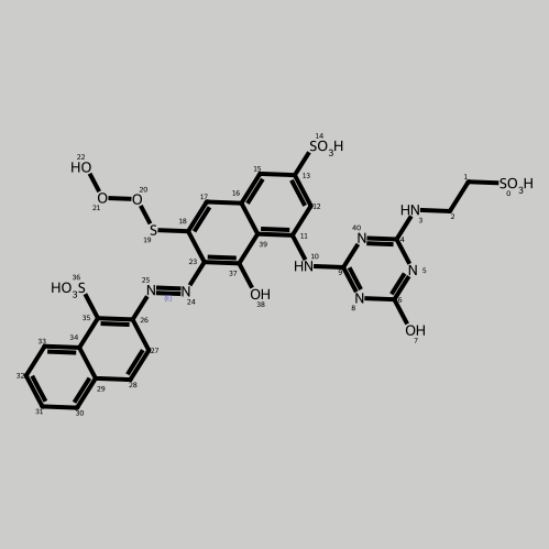 O=S(=O)(O)CCNc1nc(O)nc(Nc2cc(S(=O)(=O)O)cc3cc(SOOO)c(/N=N/c4ccc5ccccc5c4S(=O)(=O)O)c(O)c23)n1